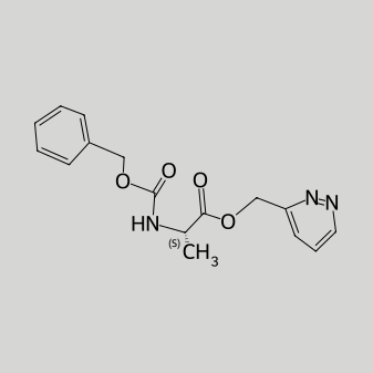 C[C@H](NC(=O)OCc1ccccc1)C(=O)OCc1cccnn1